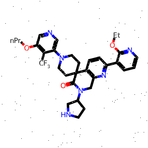 CCCOc1cncc(N2CCC3(CC2)C(=O)N(C2CCNC2)Cc2nc(-c4cccnc4OCC)ccc23)c1C(F)(F)F